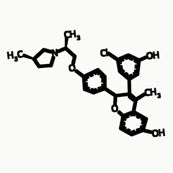 CC1=C(c2cc(O)cc(Cl)c2)C(c2ccc(OC[C@H](C)N3CC[C@@H](C)C3)cc2)Oc2ccc(O)cc21